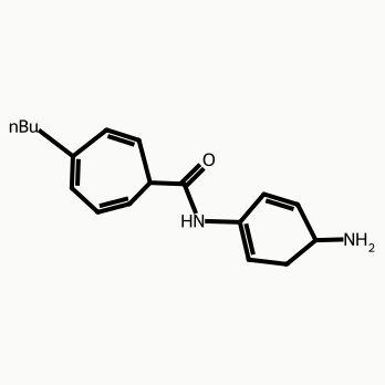 CCCCC1=CC=CC(C(=O)NC2=CCC(N)C=C2)C=C1